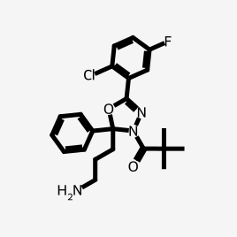 CC(C)(C)C(=O)N1N=C(c2cc(F)ccc2Cl)OC1(CCCN)c1ccccc1